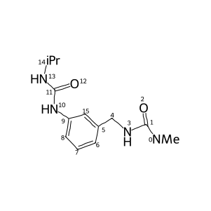 CNC(=O)NCc1cccc(NC(=O)NC(C)C)c1